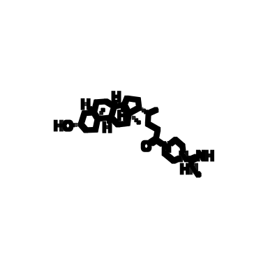 CNC(=N)N1CCN(C(=O)CCC(C)[C@H]2CC[C@H]3[C@@H]4CC[C@H]5C[C@@H](O)CC[C@]5(C)[C@H]4CC[C@]23C)CC1